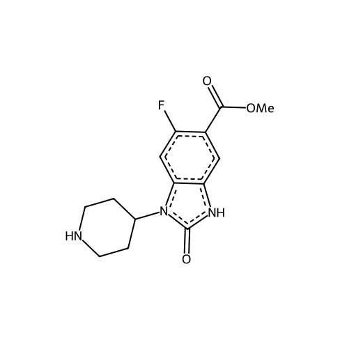 COC(=O)c1cc2[nH]c(=O)n(C3CCNCC3)c2cc1F